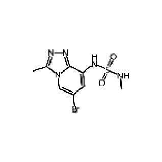 CNS(=O)(=O)Nc1cc(Br)cn2c(C)nnc12